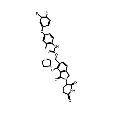 O=C1CCC(N2Cc3ccc(COC(=O)Nc4ccc(Oc5ccc(F)c(F)c5)cc4F)c(O[C@@H]4CCOC4)c3C2=O)C(=O)N1